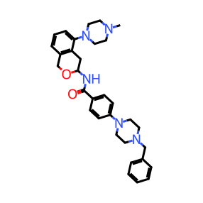 CN1CCN(c2cccc3c2CC(NC(=O)c2ccc(N4CCN(Cc5ccccc5)CC4)cc2)OC3)CC1